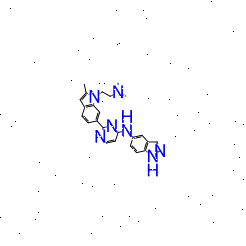 Cc1cc2ccc(-c3nccc(Nc4ccc5[nH]ncc5c4)n3)cc2n1CCN(C)C